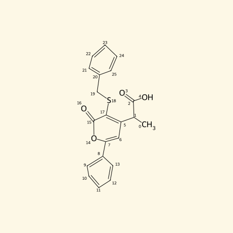 CC(C(=O)O)c1cc(-c2ccccc2)oc(=O)c1SCc1ccccc1